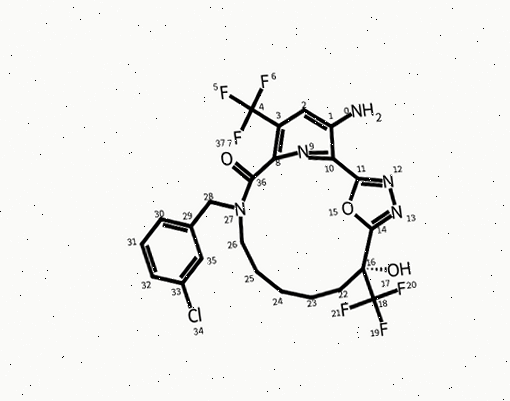 Nc1cc(C(F)(F)F)c2nc1-c1nnc(o1)[C@@](O)(C(F)(F)F)CCCCCN(Cc1cccc(Cl)c1)C2=O